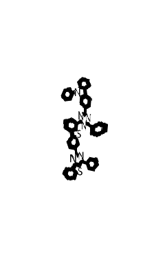 c1ccc(-c2nc(-c3ccc4c5ccccc5n(-c5ccccc5)c4c3)nc(-c3cccc4c3sc3cc(-c5nc(-c6ccccc6)c6sc7ccccc7c6n5)ccc34)n2)cc1